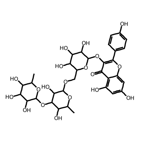 CC1OC(OC2C(O)C(C)OC(OCC3OC(Oc4c(-c5ccc(O)cc5)oc5cc(O)cc(O)c5c4=O)C(O)C(O)C3O)C2O)C(O)C(O)C1O